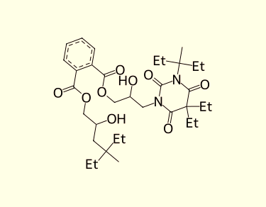 CCC(C)(CC)CC(O)COC(=O)c1ccccc1C(=O)OCC(O)CN1C(=O)N(C(C)(CC)CC)C(=O)C(CC)(CC)C1=O